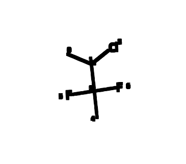 C[C](Cl)C(C)(F)F